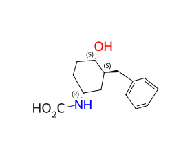 O=C(O)N[C@@H]1CC[C@H](O)[C@@H](Cc2ccccc2)C1